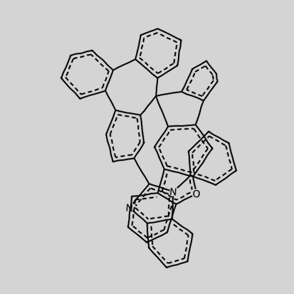 c1ccc(-n2c(-c3ccc4c(c3)C3(c5ccccc5-c5ccccc5-4)c4ccccc4-c4cc5oc6ccccc6c5cc43)nc3ccccc32)cc1